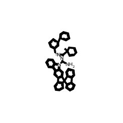 CC1(C2N(C(N)n3c4ccccc4c4cc5c(cc43)C3(c4ccccc4-c4ccccc43)c3ccccc3-5)[N@]2Cc2cccc(-c3ccccc3)c2)C=CC=CC1